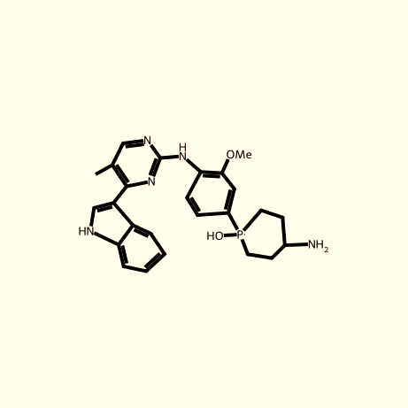 COc1cc([P]2(O)CCC(N)CC2)ccc1Nc1ncc(C)c(-c2c[nH]c3ccccc23)n1